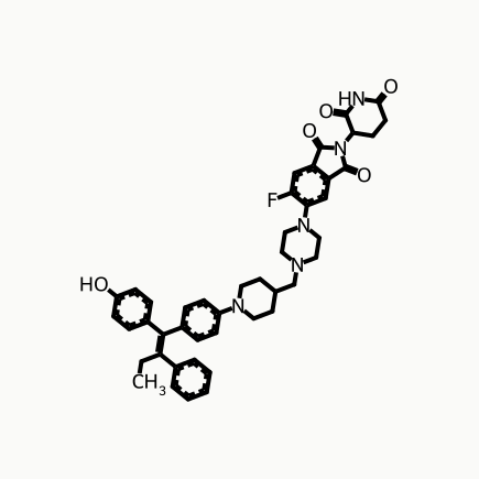 CCC(=C(c1ccc(O)cc1)c1ccc(N2CCC(CN3CCN(c4cc5c(cc4F)C(=O)N(C4CCC(=O)NC4=O)C5=O)CC3)CC2)cc1)c1ccccc1